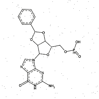 Nc1nc2c(ncn2C2OC(CO[PH](=O)O)C3OC(c4ccccc4)OC32)c(=O)[nH]1